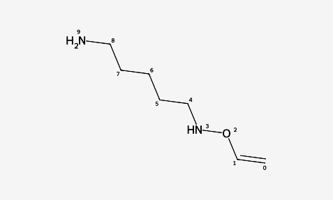 C=CONCCCCCN